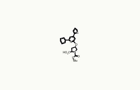 CC(C)(C)OC(=O)N1C[C@H](Oc2cc(-c3cccs3)cc(-c3ccccc3)n2)CC1C(=O)O